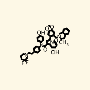 C[C@@H]1Cc2ccccc2CN1C(=O)c1cc2c(cc1-c1cc(C(=O)N(c3ccc(O)cc3)c3ccc(CCN4CCCC(F)(F)C4)cc3)c3ccccn13)OCO2.Cl